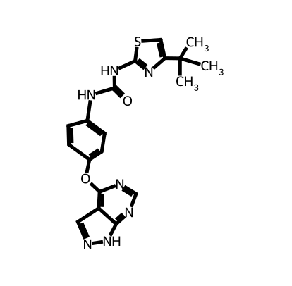 CC(C)(C)c1csc(NC(=O)Nc2ccc(Oc3ncnc4[nH]ncc34)cc2)n1